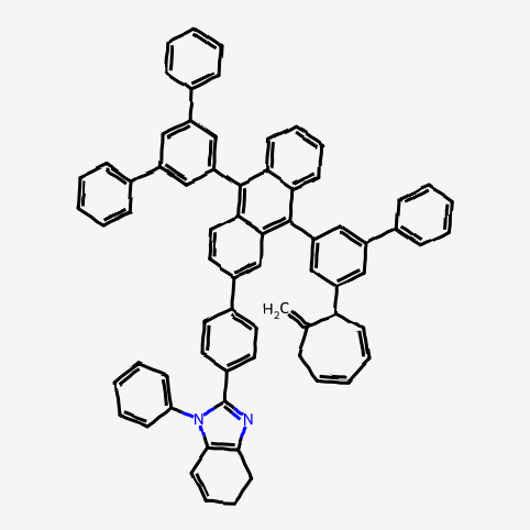 C=C1CC=CC=CC1c1cc(-c2ccccc2)cc(-c2c3ccccc3c(-c3cc(-c4ccccc4)cc(-c4ccccc4)c3)c3ccc(-c4ccc(-c5nc6c(n5-c5ccccc5)C=CCC6)cc4)cc23)c1